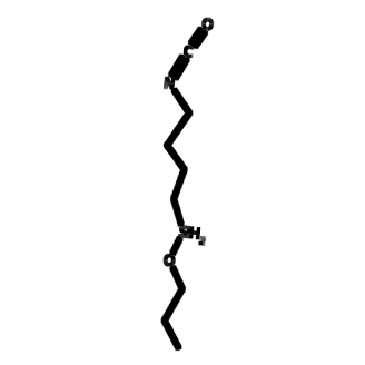 CCCO[SiH2]CCCCN=C=O